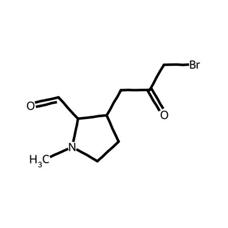 CN1CCC(CC(=O)CBr)C1C=O